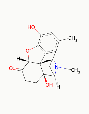 Cc1cc(O)c2c3c1C[C@H]1N(C)CC[C@@]34[C@@H](O2)C(=O)CC[C@@]14O